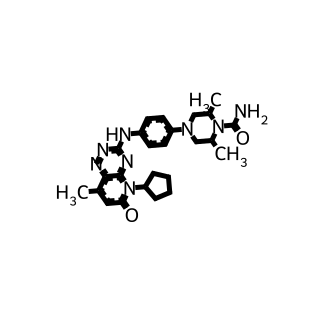 Cc1cc(=O)n(C2CCCC2)c2nc(Nc3ccc(N4CC(C)N(C(N)=O)C(C)C4)cc3)nnc12